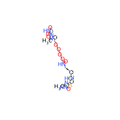 C[C@@H]1CNc2c(sc3ccc4nc(-c5cccc(C#CCCNC(=O)COCCOCCOCCOCCc6cccc7c6n(C)c(=O)n7C6CCC(=O)NC6=O)c5)ccc4c23)C(=O)N1